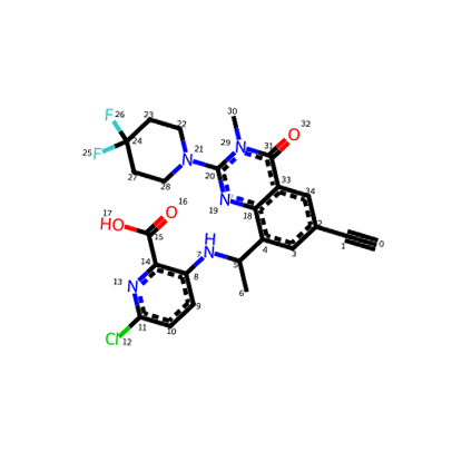 C#Cc1cc(C(C)Nc2ccc(Cl)nc2C(=O)O)c2nc(N3CCC(F)(F)CC3)n(C)c(=O)c2c1